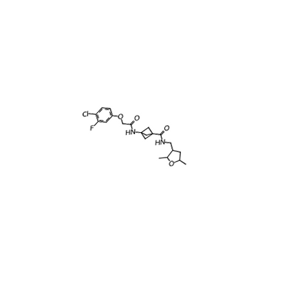 CC1CC(CNC(=O)C23CC(NC(=O)COc4ccc(Cl)c(F)c4)(C2)C3)C(C)O1